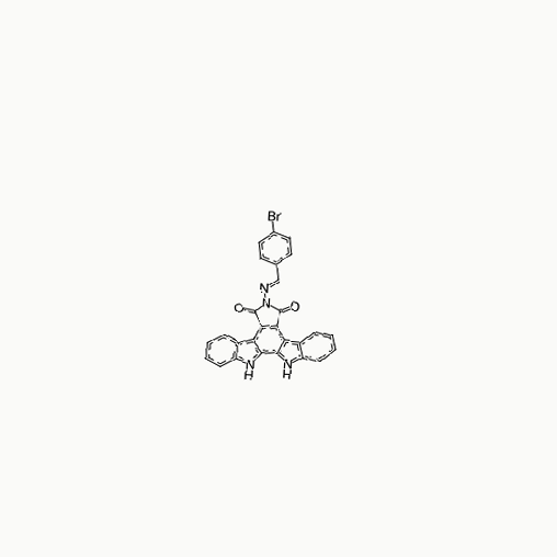 O=C1c2c(c3c4ccccc4[nH]c3c3[nH]c4ccccc4c23)C(=O)N1/N=C/c1ccc(Br)cc1